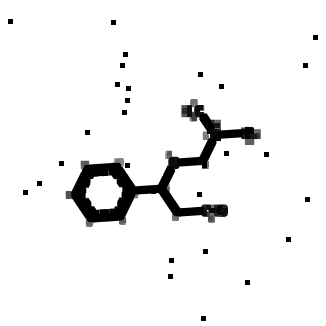 C[SiH](COC(CC=O)c1ccccc1)C(C)(C)C